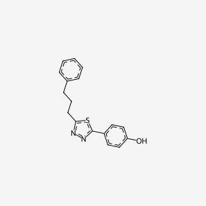 Oc1ccc(-c2nnc(CCCc3ccccc3)s2)cc1